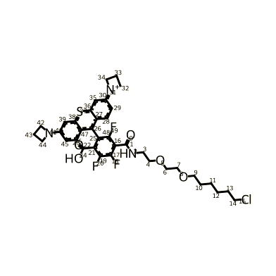 O=C(NCCOCCOCCCCCCCl)c1c(F)c(F)c(C(=O)O)c(-c2c3ccc(=[N+]4CCC4)cc-3sc3cc(N4CCC4)ccc23)c1F